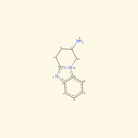 NC1CCc2nc3ccccc3n2C1